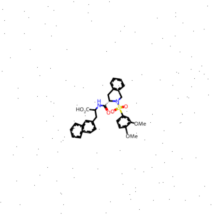 COc1ccc(S(=O)(=O)N2Cc3ccccc3C[C@H]2C(=O)NC(Cc2ccc3ccccc3c2)C(=O)O)cc1OC